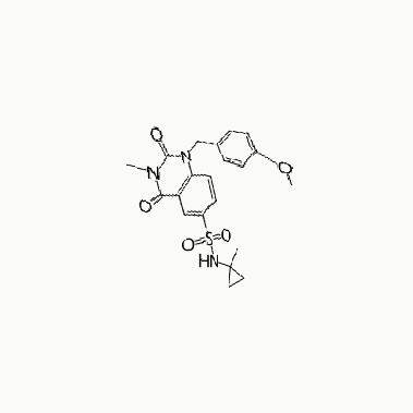 COc1ccc(Cn2c(=O)n(C)c(=O)c3cc(S(=O)(=O)NC4(C)CC4)ccc32)cc1